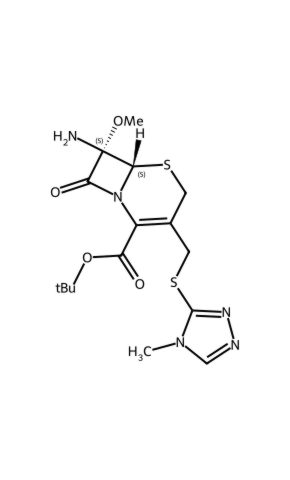 CO[C@@]1(N)C(=O)N2C(C(=O)OC(C)(C)C)=C(CSc3nncn3C)CS[C@H]21